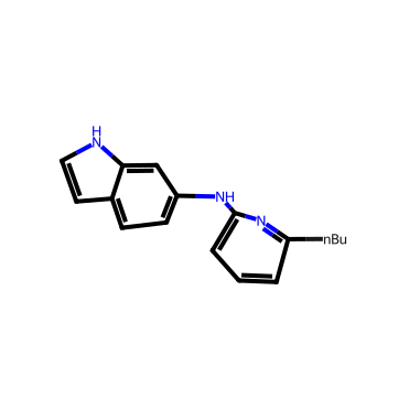 CCCCc1cccc(Nc2ccc3cc[nH]c3c2)n1